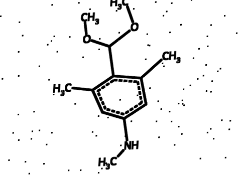 CNc1cc(C)c(C(OC)OC)c(C)c1